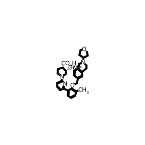 CO[C@@H]1CN(c2cccc(-c3cccc(C)c3OCc3ccc4c(c3)CCN(C3CCOCC3)C4)n2)CC[C@@H]1C(=O)O